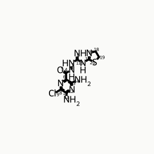 N=C(NNC(=O)c1nc(Cl)c(N)nc1N)NC1=NCCS1